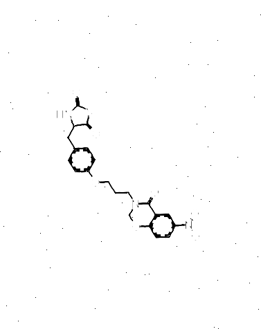 O=C1NC(Cc2ccc(OCCCN3COc4ccc([N+](=O)[O-])cc4C3=O)cc2)C(=O)S1